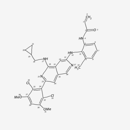 C=CC(=O)Nc1cccc(C)c1Nc1cc2c(NCC3CC3)nc(-c3c(Cl)c(OC)cc(OC)c3Cl)cc2cn1